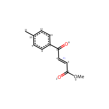 COC(=O)/C=C/C(=O)c1ccc(C)cc1